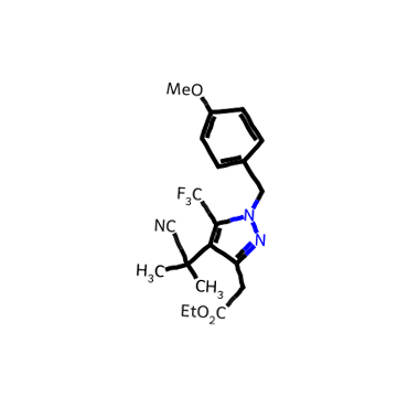 CCOC(=O)Cc1nn(Cc2ccc(OC)cc2)c(C(F)(F)F)c1C(C)(C)C#N